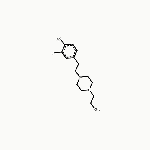 CCCN1CCN(CCc2ccc(C)c(Cl)c2)CC1